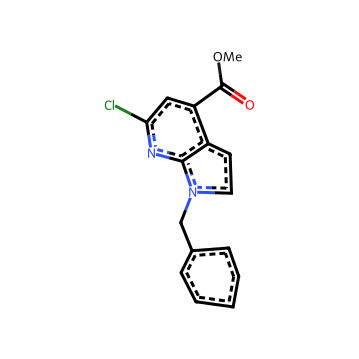 COC(=O)c1cc(Cl)nc2c1ccn2Cc1ccccc1